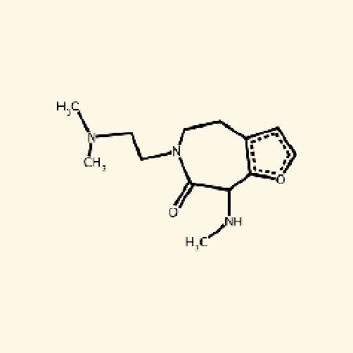 CNC1C(=O)N(CCN(C)C)CCc2ccoc21